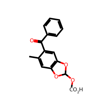 Cc1cc2c(cc1C(=O)c1ccccc1)OC(OC(=O)O)O2